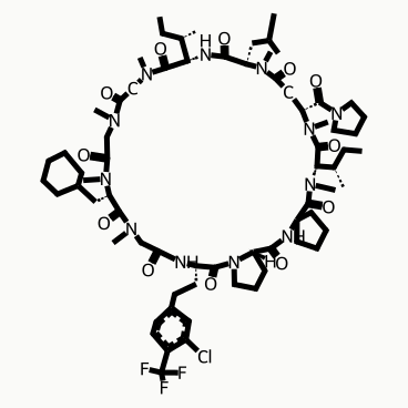 CC[C@H](C)[C@@H]1NC(=O)[C@H](CC(C)C)N(C)C(=O)C[C@H](C(=O)N2CCCC2)N(C)C(=O)[C@H]([C@@H](C)CC)N(C)C(=O)C2(CCCC2)NC(=O)[C@@H]2CCCN2C(=O)[C@H](CCc2ccc(C(F)(F)F)c(Cl)c2)NC(=O)CN(C)C(=O)[C@H](CC2CCCCC2)N(C)C(=O)CN(C)C(=O)CN(C)C1=O